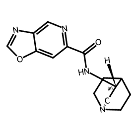 O=C(N[C@H]1CN2CCC1CC2)c1cc2ocnc2cn1